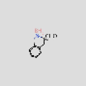 BN1Cc2ccccc2C[C@H]1C=O